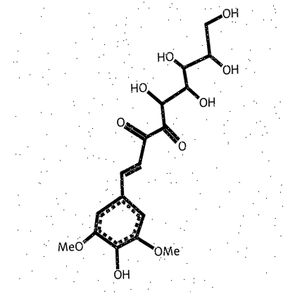 COc1cc(/C=C/C(=O)C(=O)C(O)C(O)C(O)C(O)CO)cc(OC)c1O